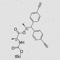 C#Cc1ccc(C(c2ccc(C#C)cc2)[C@H](C)OC(=O)[C@H](C)NC(=O)OC(C)(C)C)cc1